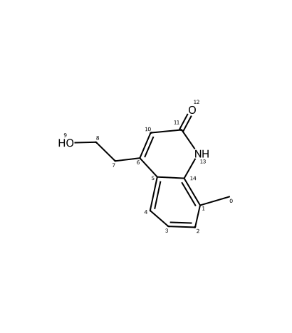 Cc1cccc2c(CCO)cc(=O)[nH]c12